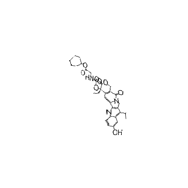 CCc1c2c(nc3ccc(O)cc13)-c1cc3c(c(=O)n1C2)COC(=O)[C@@]3(CC)OC(=O)NCC(=O)OC1CCCCC1